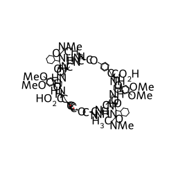 CN[C@@H](C)C(=O)N[C@H](C(=O)N1C[C@@H]2C[C@H]1C(=O)N[C@@H](Cc1ccc(OC)c(OC)c1)C(=O)N[C@H](C(=O)O)Cc1ccc(cc1)OCc1cn(nn1)[C@H]1C[C@@H](C(=O)N[C@@H](Cc3ccc(OC)c(OC)c3)C(=O)N[C@H](C(=O)O)Cc3ccc(cc3)OCc3cn2nn3)N(C(=O)[C@@H](NC(=O)[C@H](C)NC)C2CCCCC2)C1)C1CCCCC1